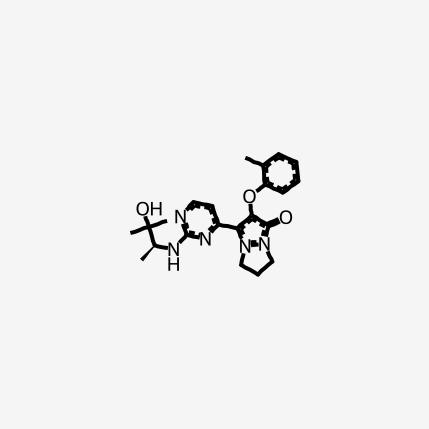 Cc1ccccc1Oc1c(-c2ccnc(N[C@@H](C)C(C)(C)O)n2)n2n(c1=O)CCC2